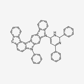 C1=C(n2c3ccccc3c3cc4c5c6c(ccc5n(-c5ccccc5)c4cc32)sc2ccccc26)NC(c2ccccc2)N=C1c1ccccc1